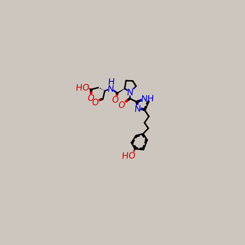 O=C[C@H](CC(=O)O)NC(=O)[C@H]1CCCN1C(=O)c1nc(CCCc2ccc(O)cc2)c[nH]1